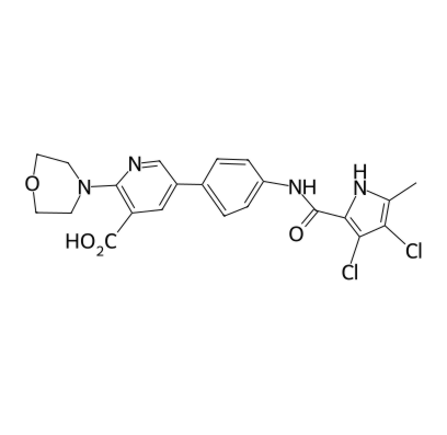 Cc1[nH]c(C(=O)Nc2ccc(-c3cnc(N4CCOCC4)c(C(=O)O)c3)cc2)c(Cl)c1Cl